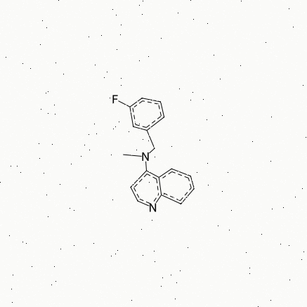 CN(Cc1cccc(F)c1)c1ccnc2ccccc12